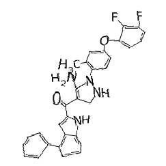 Cc1cc(Oc2cccc(F)c2F)ccc1N1NCC(C(=O)c2cc3c(-c4ccccc4)cccc3[nH]2)=C1N